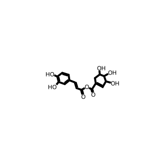 O=C(C=Cc1ccc(O)c(O)c1)OC(=O)C1=CC(O)C(O)C(O)C1